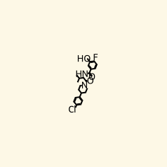 CC(C)[C@@H](NC(=O)c1ccc(F)c(O)c1)C(=O)N1CCC(c2ccc(Cl)cc2)CC1